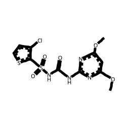 COc1cc(OC)nc(NC(=O)NS(=O)(=O)c2sccc2Cl)n1